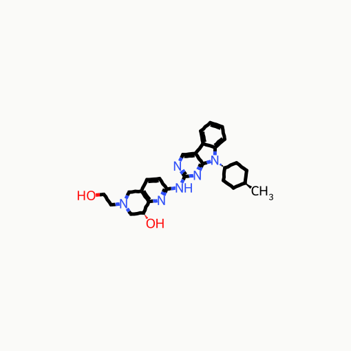 C[C@H]1CC[C@H](n2c3ccccc3c3cnc(Nc4ccc5c(n4)[C@H](O)CN(CCO)C5)nc32)CC1